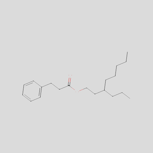 CCCCCC(CCC)CCOC(=O)CCc1ccccc1